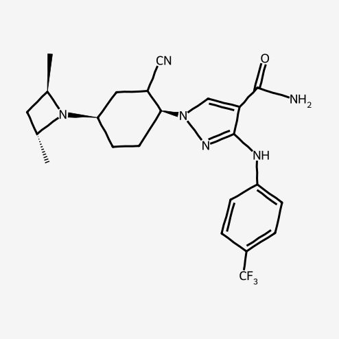 C[C@@H]1C[C@@H](C)N1[C@@H]1CC[C@H](n2cc(C(N)=O)c(Nc3ccc(C(F)(F)F)cc3)n2)C(C#N)C1